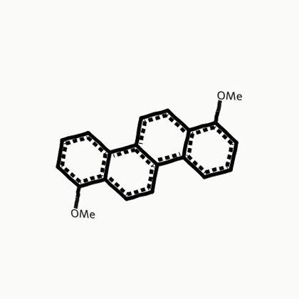 COc1cccc2c1ccc1c3cccc(OC)c3ccc21